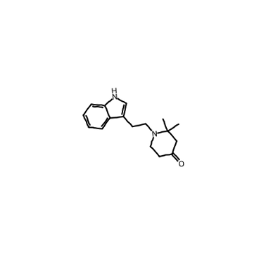 CC1(C)CC(=O)CCN1CCc1c[nH]c2ccccc12